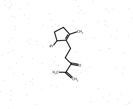 C=C(C)C(=O)CCC1=C(C)CCC1C(C)C